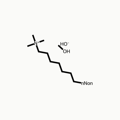 CCCCCCCCCCCCCCCC[N+](C)(C)C.CO.[OH-]